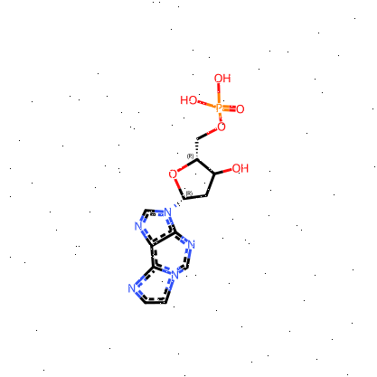 O=P(O)(O)OC[C@H]1O[C@@H](n2cnc3c2ncn2ccnc32)CC1O